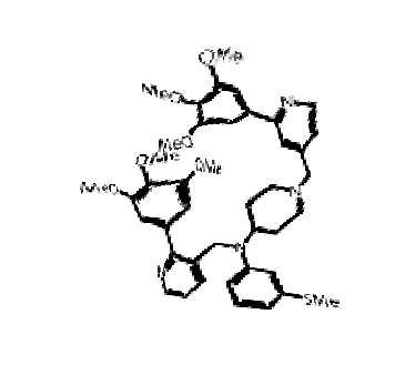 COc1cc(-c2cc(CN3CCC(N(Cc4cccnc4-c4cc(OC)c(OC)c(OC)c4)c4cccc(SC)c4)CC3)ccn2)cc(OC)c1OC